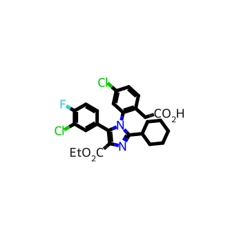 CCOC(=O)c1nc(C2CCCCC2)n(-c2cc(Cl)ccc2CC(=O)O)c1-c1ccc(F)c(Cl)c1